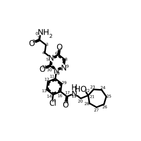 NC(=O)CCn1c(=O)cnn(-c2ccc(Cl)c(C(=O)NCC3(O)CCCCCC3)c2)c1=O